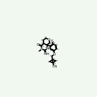 CN1C(=N)NC2(c3cc(OCC45CC4(C#N)C5)ccc3F)COCCC2C1=O